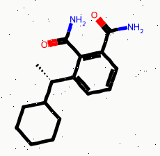 C[C@H](c1cccc(C(N)=O)c1C(N)=O)C1CCCCC1